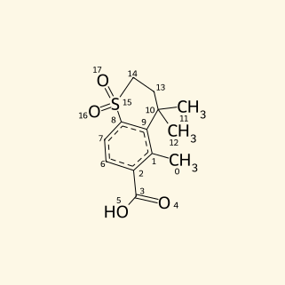 Cc1c(C(=O)O)ccc2c1C(C)(C)CCS2(=O)=O